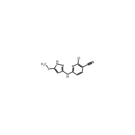 CSc1cc(Nc2ccc(C#N)c(Cl)n2)n[nH]1